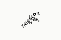 CCn1nc(C)cc1NC(=O)Cn1cnc2c(Nc3ccc(CN4CCCCC4)cc3)nc(N)nc21